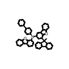 CC1(c2cc(N(c3ccc(-c4ccccc4)cc3)c3cccc4c3oc3ccccc34)cc3c2oc2ccccc23)c2ccccc2-c2ccccc21